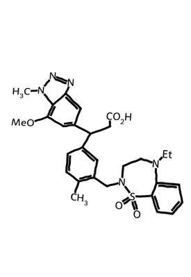 CCN1CCN(Cc2cc(C(CC(=O)O)c3cc(OC)c4c(c3)nnn4C)ccc2C)S(=O)(=O)c2ccccc21